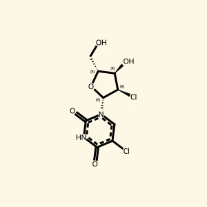 O=c1[nH]c(=O)n([C@@H]2O[C@H](CO)[C@@H](O)[C@H]2Cl)cc1Cl